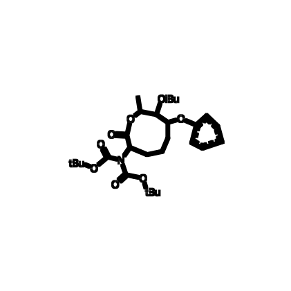 CC(C)COC1C(C)OC(=O)C(N(C(=O)OC(C)(C)C)C(=O)OC(C)(C)C)CCCC1Oc1ccccc1